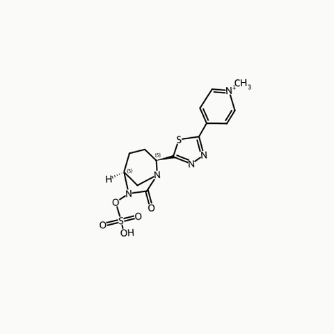 C[n+]1ccc(-c2nnc([C@@H]3CC[C@H]4CN3C(=O)N4OS(=O)(=O)O)s2)cc1